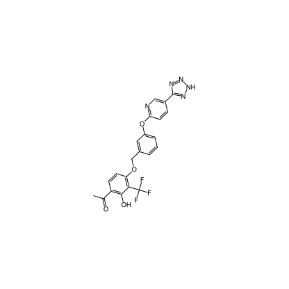 CC(=O)c1ccc(OCc2cccc(Oc3ccc(-c4nn[nH]n4)cn3)c2)c(C(F)(F)F)c1O